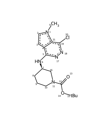 Cn1ccc2c(N[C@@H]3CCCN(C(=O)OC(C)(C)C)C3)nnc(Cl)c21